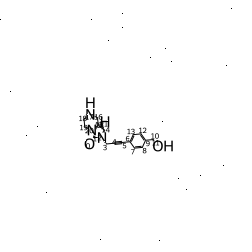 O=C1N(CC#Cc2ccc(CO)cc2)C[C@@H]2CNCCN12